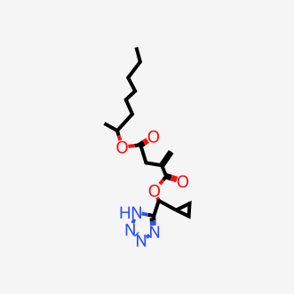 C=C(CC(=O)OC(C)CCCCCC)C(=O)OC(c1nnn[nH]1)C1CC1